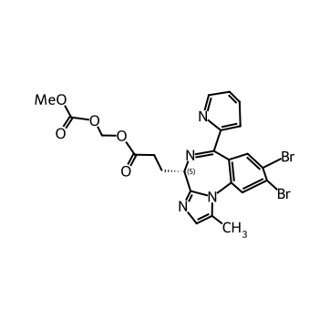 COC(=O)OCOC(=O)CC[C@@H]1N=C(c2ccccn2)c2cc(Br)c(Br)cc2-n2c(C)cnc21